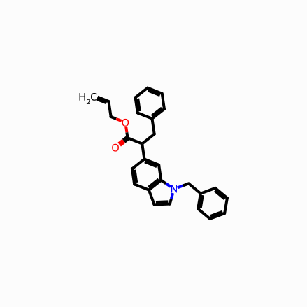 C=CCOC(=O)C(Cc1ccccc1)c1ccc2ccn(Cc3ccccc3)c2c1